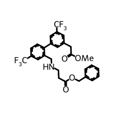 COC(=O)Cc1cc(-c2ccc(C(F)(F)F)cc2CNCCC(=O)OCc2ccccc2)cc(C(F)(F)F)c1